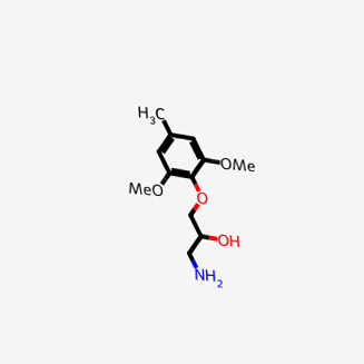 COc1cc(C)cc(OC)c1OCC(O)CN